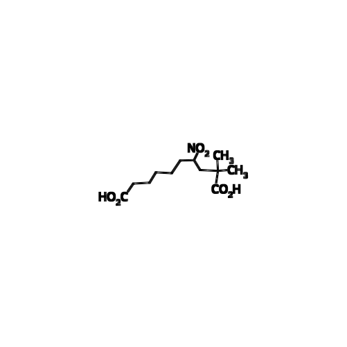 CC(C)(CC(CCCCCC(=O)O)[N+](=O)[O-])C(=O)O